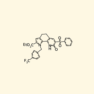 CCOC(=O)c1cc2c(n1Cc1ccc(C(F)(F)F)cc1)-c1[nH]c(=O)c(S(=O)(=O)c3ccccc3)cc1CC2